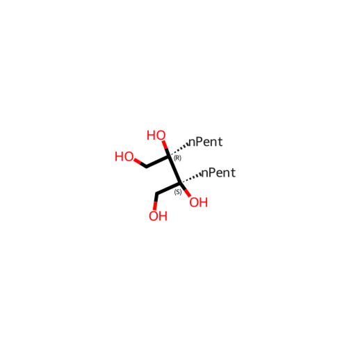 CCCCC[C@](O)(CO)[C@](O)(CO)CCCCC